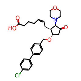 O=C(O)CCC/C=C\C[C@H]1[C@@H](OCc2ccc(-c3ccc(Cl)cc3)cc2)CC(=O)[C@@H]1N1CCOCC1